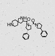 O=C([C@@H]1C[C@H](c2ccccc2)CN1C(=O)C1CC2(CCNCC2)CN1)N1CCC(c2ccccc2)C1